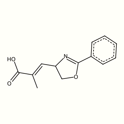 C/C(=C\C1COC(c2ccccc2)=N1)C(=O)O